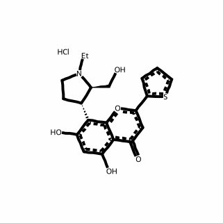 CCN1CC[C@@H](c2c(O)cc(O)c3c(=O)cc(-c4cccs4)oc23)[C@@H]1CO.Cl